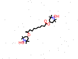 C=C(CCCCCCCCC(=O)OC1CC(C)(C)N(O)C(C)(C)C1)OC1CC(C)(C)N(O)C(C)(C)C1